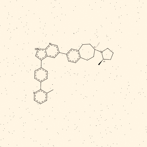 Cc1cccnc1-c1ccc(-c2c[nH]c3ncc(-c4ccc5c(c4)CC[C@@](C)(N4CCC[C@H]4C)CC5)cc23)cc1